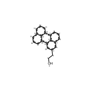 OCCc1cc2cccc3c4cccc5cccc(c(c1)c23)c54